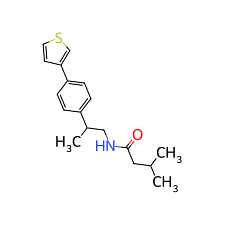 CC(C)CC(=O)NCC(C)c1ccc(-c2ccsc2)cc1